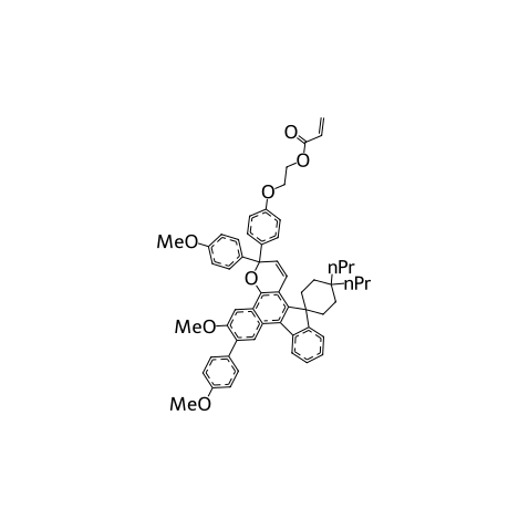 C=CC(=O)OCCOc1ccc(C2(c3ccc(OC)cc3)C=Cc3c4c(c5cc(-c6ccc(OC)cc6)c(OC)cc5c3O2)-c2ccccc2C42CCC(CCC)(CCC)CC2)cc1